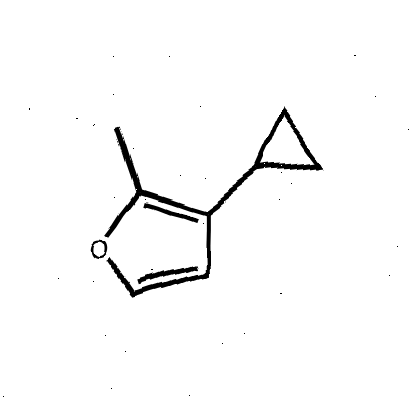 Cc1occc1C1CC1